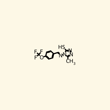 Cc1nnc(S)n1N=Cc1ccc(OC(F)(F)F)cc1